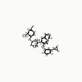 Cc1ccc(C[C@@H]2CON=C(c3cc4cncn4nc3Oc3cccc(C4CC4)c3)N2)c(Cl)c1